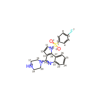 O=S(=O)(c1ccc(F)cc1)n1ccc2c(N3CCNCC3)nc3ccccc3c21